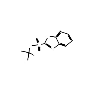 O=S(=O)(OC(F)(F)S)c1nc2ccccc2s1